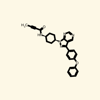 CC#CC(=O)N[C@H]1CC[C@@H](n2nc(-c3ccc(Oc4ccccc4)cc3)c3cncnc32)CC1